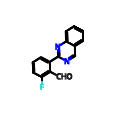 O=Cc1c(F)cccc1-c1ncc2ccccc2n1